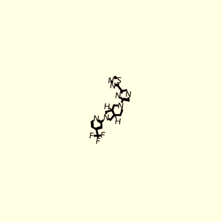 FC(F)(F)c1ccnc(N2C[C@H]3CCN(c4cncc(-c5nncs5)n4)C[C@H]3C2)c1